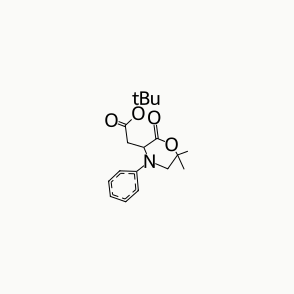 CC(C)(C)OC(=O)CC1C(=O)OC(C)(C)CN1c1ccccc1